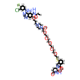 C=CC(=O)Nc1cc2c(Nc3ccc(F)c(Cl)c3)ncnc2cc1OCCCN1CCN(C(=O)COCCOCCOCCOCCOCCSc2cccc3c2CN(C2CCC(=O)NC2=O)C3=O)CC1